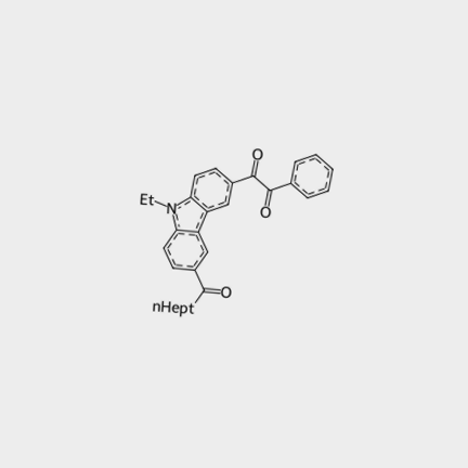 CCCCCCCC(=O)c1ccc2c(c1)c1cc(C(=O)C(=O)c3ccccc3)ccc1n2CC